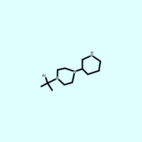 CCC(C)(C)N1CCN(C2CCCNC2)CC1